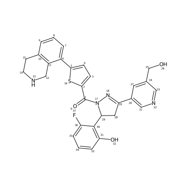 O=C(c1ccc(-c2cccc3c2CNCC3)s1)N1N=C(c2cncc(CO)c2)CC1c1c(O)cccc1F